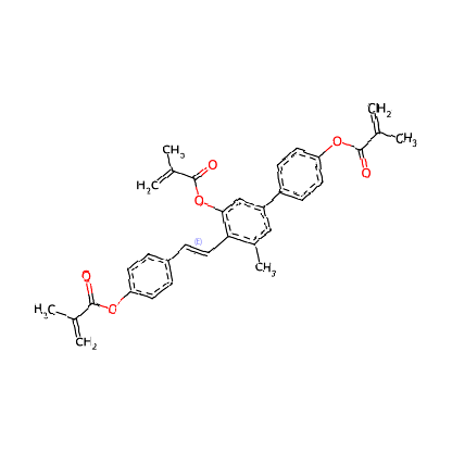 C=C(C)C(=O)Oc1ccc(/C=C/c2c(C)cc(-c3ccc(OC(=O)C(=C)C)cc3)cc2OC(=O)C(=C)C)cc1